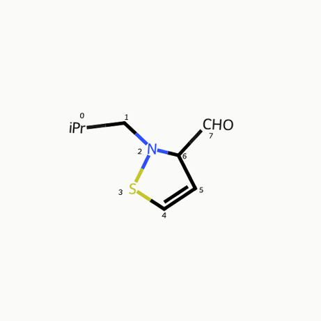 CC(C)CN1SC=CC1C=O